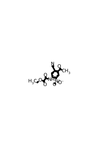 CCOC(=O)C(=O)Nc1cc(C#N)c(C(C)=O)cc1[N+](=O)[O-]